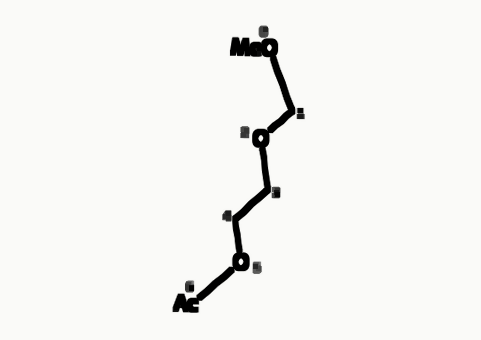 COCOCCOC(C)=O